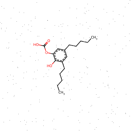 CCCCCc1cc(CCCCC)c(O)c(OC(=O)O)c1